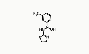 ON(NC1=NCCS1)c1cccc(C(F)(F)F)c1